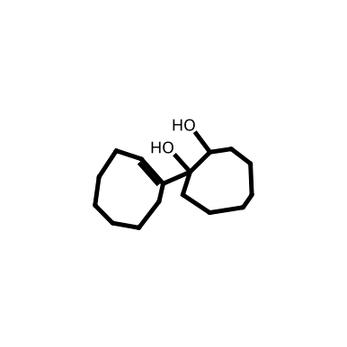 OC1CCCCCCC1(O)C1=CCCCCCC1